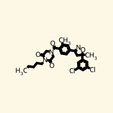 CCCCCN1C(=O)CN(C(=O)c2ccc(C3=NOC(C)(c4cc(Cl)cc(Cl)c4)C3)cc2C)CC1=O